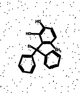 CCC(c1ccccc1)(c1ccccc1)c1c(C)ccc(O)c1O